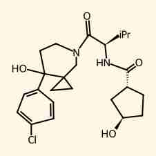 CC(C)[C@@H](NC(=O)[C@@H]1CC[C@@H](O)C1)C(=O)N1CCC(O)(c2ccc(Cl)cc2)C2(CC2)C1